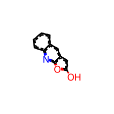 Oc1cc2cc3ccccc3nc2o1